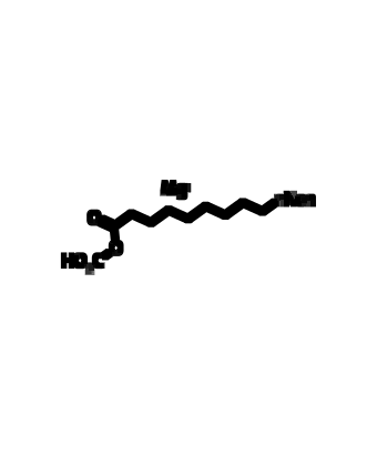 CCCCCCCCCCCCCCCCCC(=O)OC(=O)O.[Mg]